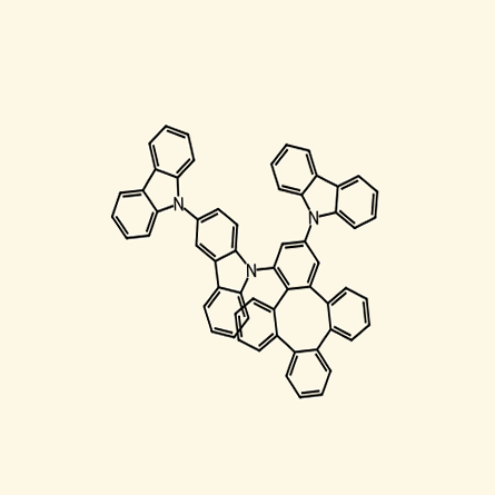 c1ccc2c(c1)-c1ccccc1-c1cc(-n3c4ccccc4c4ccccc43)cc(-n3c4ccccc4c4cc(-n5c6ccccc6c6ccccc65)ccc43)c1-c1ccccc1-2